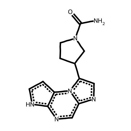 NC(=O)N1CCC(c2cnc3cnc4[nH]ccc4n23)C1